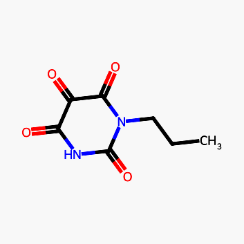 CCCN1C(=O)NC(=O)C(=O)C1=O